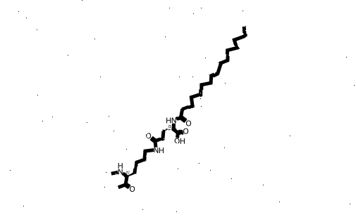 CCCCCCCCCCCCCCCC(=O)N[C@@H](CCC(=O)NCCCC[C@H](NC)C(C)=O)C(=O)O